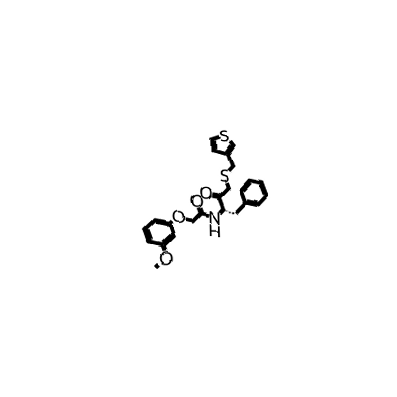 COc1cccc(OCC(=O)N[C@@H](Cc2ccccc2)C(=O)CSCc2ccsc2)c1